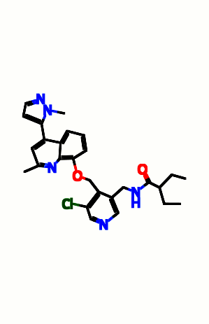 CCC(CC)C(=O)NCc1cncc(Cl)c1COc1cccc2c(-c3ccnn3C)cc(C)nc12